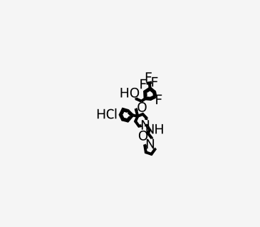 Cl.O=C(CN1CCCC1)NN1CCC(COC(CO)c2cc(F)cc(C(F)(F)F)c2)(c2ccccc2)CC1